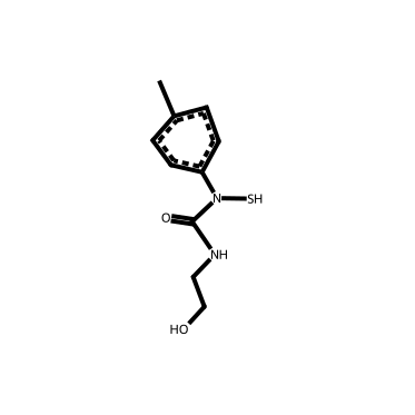 Cc1ccc(N(S)C(=O)NCCO)cc1